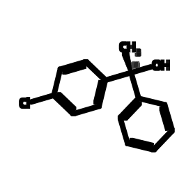 C[C@@](O)(c1ccccc1)c1ccc(Cl)cc1